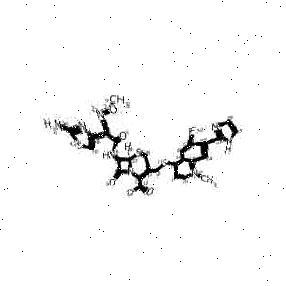 CO/N=C(\C(=O)NC1C(=O)N2C(C(=O)[O-])=C(CSc3cc[n+](C)c4cc(-c5ncc[nH]5)c(F)cc34)CS[C@H]12)c1csc(N)n1